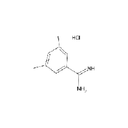 Cc1cc(C)cc(C(=N)N)c1.Cl